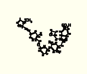 Cn1ccnc1C#Cc1ccc(COc2cccc(-c3cc(F)c(Cc4nc5ccc(C(=O)O)cc5n4CC4CCO4)cc3F)n2)c(F)c1